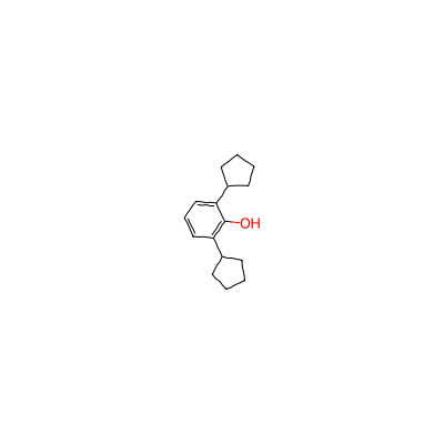 Oc1c(C2CCCC2)cccc1C1CCCC1